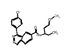 CCC(CCOC)NC(=O)c1ccc2cnnc(-c3ccc(Cl)cc3)c2c1